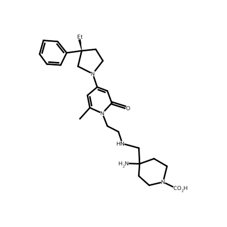 CC[C@@]1(c2ccccc2)CCN(c2cc(C)n(CCNCC3(N)CCN(C(=O)O)CC3)c(=O)c2)C1